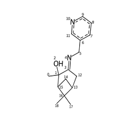 CC1(O)/C(=N/Cc2cccnc2)CC2CC1C2(C)C